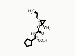 C=CC[C@@H]1C[C@]1(C)OC(=O)N[C@H](C(=O)O)C1CCCC1